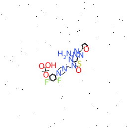 CC(C)(Oc1cc(N2CCN(CCn3c(=O)sc4c3nc(N)n3nc(-c5ccco5)nc43)CC2)c(F)cc1F)C(=O)O